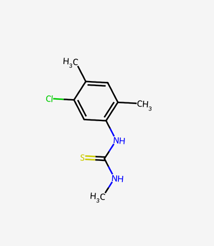 CNC(=S)Nc1cc(Cl)c(C)cc1C